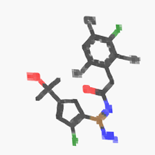 CC(C)c1cc(C#N)c(F)c(C(C)C)c1CC(=O)/N=S(/N)C1=C(F)C=C(C(C)(C)O)C1